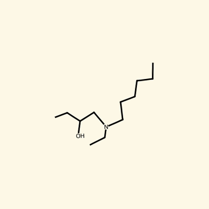 CCCCCCN(CC)CC(O)CC